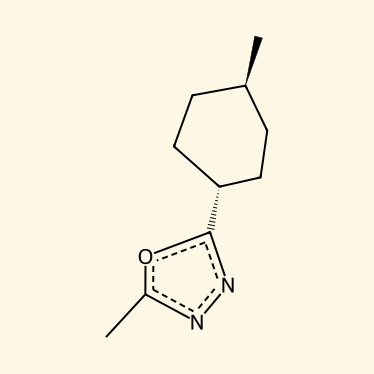 Cc1nnc([C@H]2CC[C@H](C)CC2)o1